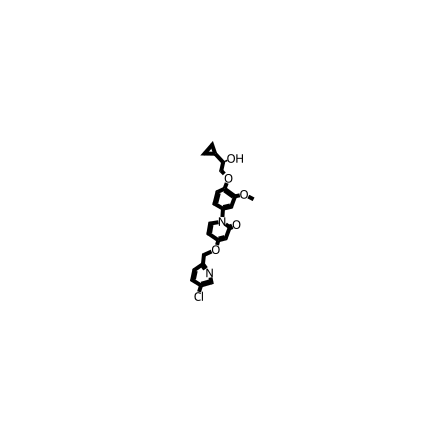 COc1cc(-n2ccc(OCc3ccc(Cl)cn3)cc2=O)ccc1OC[C@@H](O)C1CC1